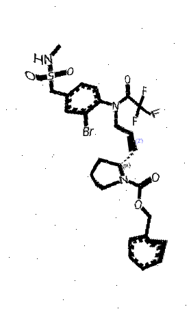 CNS(=O)(=O)Cc1ccc(N(C/C=C\[C@H]2CCCN2C(=O)OCc2ccccc2)C(=O)C(F)(F)F)c(Br)c1